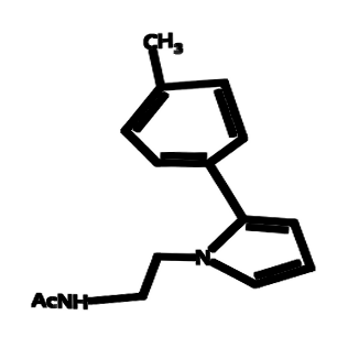 CC(=O)NCCn1cccc1-c1ccc(C)cc1